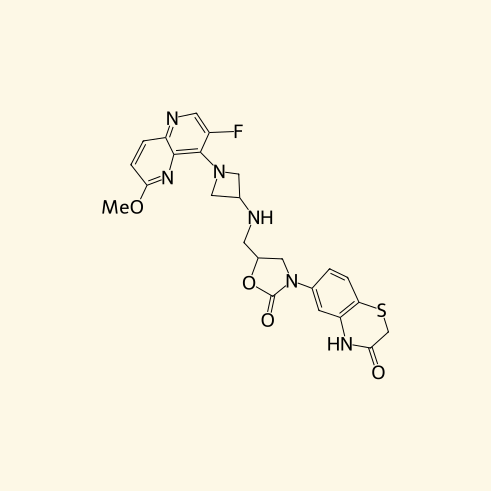 COc1ccc2ncc(F)c(N3CC(NCC4CN(c5ccc6c(c5)NC(=O)CS6)C(=O)O4)C3)c2n1